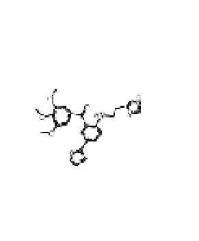 COc1cc(C(=O)c2cc(-c3ccco3)ccc2NCCc2c[nH]cn2)cc(OC)c1OC